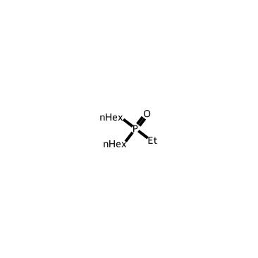 CCCCCCP(=O)(CC)CCCCCC